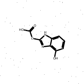 O=C(O)Oc1nc2c(O)cccc2[nH]1